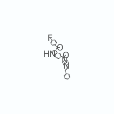 O=C(c1ccc(F)cc1)c1c[nH]c2ccc(C(=O)N3CCN(C=Cc4ccccc4)CC3)cc12